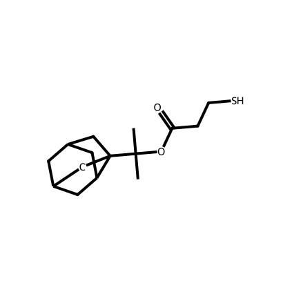 CC(C)(OC(=O)CCS)C12CC3CC(CC1C3)C2